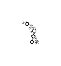 C[C@]1(NC(=O)Nc2ccc(Cl)cc2)CCCN(c2ccc(-c3ccccc3NS(C)(=O)=O)cc2)C1=O